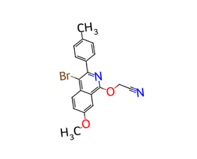 COc1ccc2c(Br)c(-c3ccc(C)cc3)nc(OCC#N)c2c1